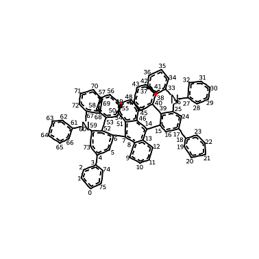 c1ccc(-c2cc(-c3c4ccccc4c(-c4cc(-c5ccccc5)cc(N(c5ccccc5)c5ccccc5)c4-c4ccccc4)c4ccccc34)c(-c3ccccc3)c(N(c3ccccc3)c3ccccc3)c2)cc1